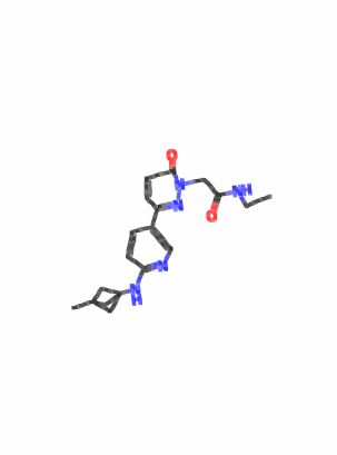 CCNC(=O)Cn1nc(-c2ccc(NC34CC(C)(C3)C4)nc2)ccc1=O